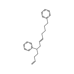 C=CCCC(CC=CCCCCc1ccccc1)c1ccccc1